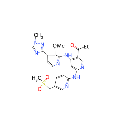 CCC(=O)c1cnc(Nc2ccc(CS(C)(=O)=O)cn2)cc1Nc1nccc(-c2ncn(C)n2)c1OC